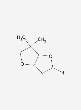 CC1(C)COC2CC(I)OC21